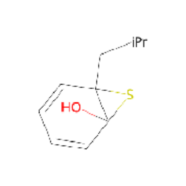 CC(C)CC12C=CC=CC1(O)S2